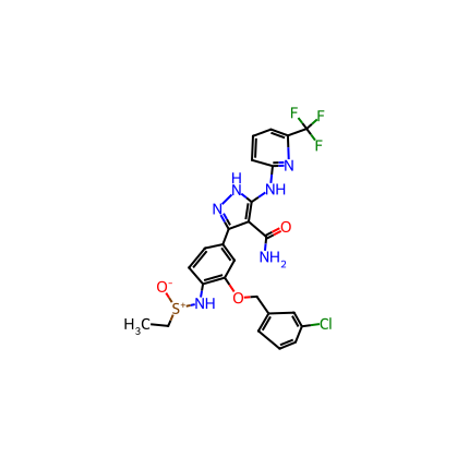 CC[S+]([O-])Nc1ccc(-c2n[nH]c(Nc3cccc(C(F)(F)F)n3)c2C(N)=O)cc1OCc1cccc(Cl)c1